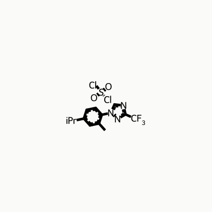 Cc1cc(C(C)C)ccc1-n1cnc(C(F)(F)F)n1.O=S(=O)(Cl)Cl